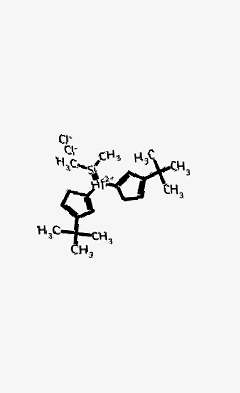 C[Si](C)=[Hf+2]([C]1=CC(C(C)(C)C)=CC1)[C]1=CC(C(C)(C)C)=CC1.[Cl-].[Cl-]